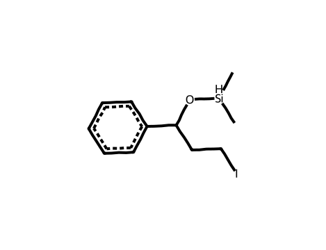 C[SiH](C)OC(CCI)c1ccccc1